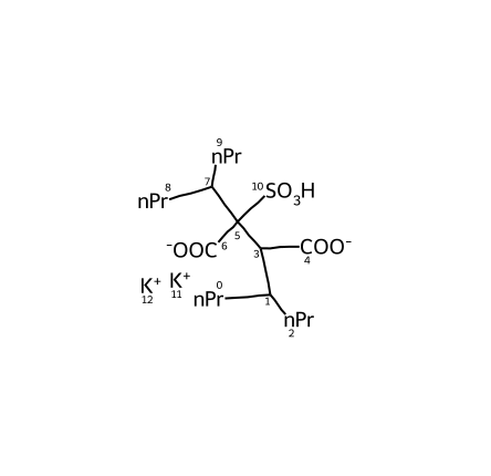 CCCC(CCC)C(C(=O)[O-])C(C(=O)[O-])(C(CCC)CCC)S(=O)(=O)O.[K+].[K+]